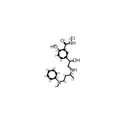 CCNC(=O)c1cc(C(O)CNC(C)CCN(C)c2ccccc2)ccc1O